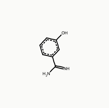 N=C(N)c1cccc(O)c1